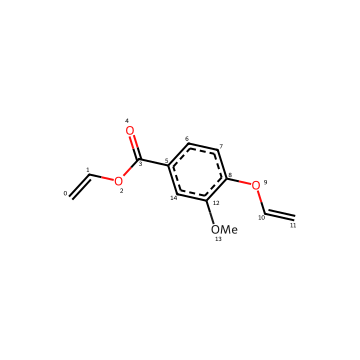 C=COC(=O)c1ccc(OC=C)c(OC)c1